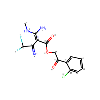 CN/C(N)=C(\C(=N)C(F)F)C(=O)OCC(=O)c1ccccc1Cl